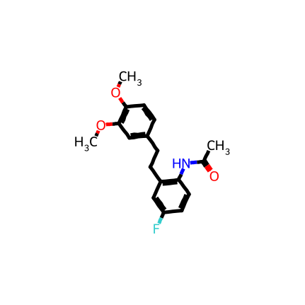 COc1ccc(CCc2cc(F)ccc2NC(C)=O)cc1OC